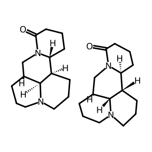 O=C1CCC[C@@H]2[C@H]3CCCN4CCC[C@H](CN12)[C@@H]34.O=C1CCC[C@H]2[C@@H]3CCCN4CCC[C@H](CN12)[C@H]34